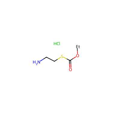 CCOC(=O)SCCN.Cl